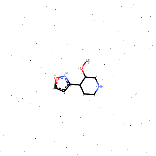 CCOC1CNCCC1c1ccon1